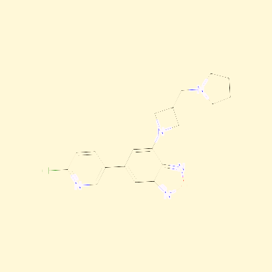 Clc1ccc(-c2cc(N3CC(CN4CCCC4)C3)c3nonc3c2)cn1